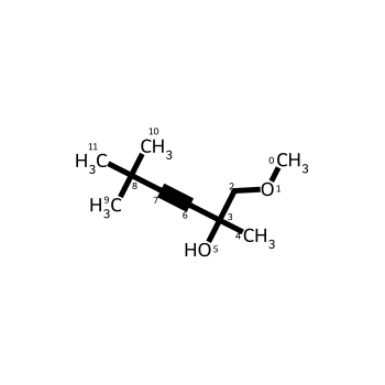 COCC(C)(O)C#CC(C)(C)C